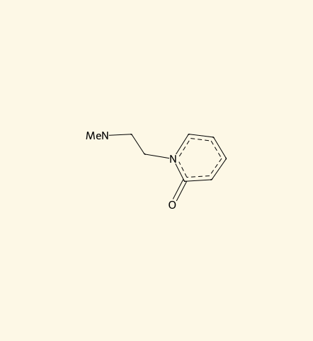 CNCCn1ccccc1=O